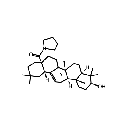 CC1(C)CC[C@]2(C(=O)N3CCCC3)CC[C@]3(C)C(=CC[C@@H]4[C@@]5(C)CC[C@H](O)C(C)(C)[C@@H]5CC[C@]43C)[C@@H]2C1